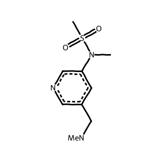 CNCc1cncc(N(C)S(C)(=O)=O)c1